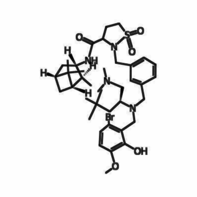 COc1ccc(Br)c(CN(Cc2cccc(CN3C(C(=O)N[C@H]4C[C@H]5C[C@@H]([C@@H]4C)C5(C)C)CCS3(=O)=O)c2)[C@H](CN(C)C)CC(C)(C)C)c1O